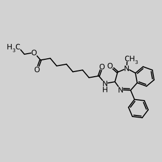 CCOC(=O)CCCCCCC(=O)NC1N=C(c2ccccc2)c2ccccc2N(C)C1=O